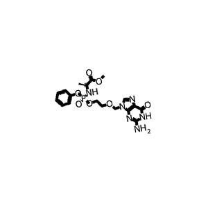 COC(=O)[C@H](C)NP(=O)(OCCOCn1cnc2c(=O)[nH]c(N)nc21)Oc1ccccc1